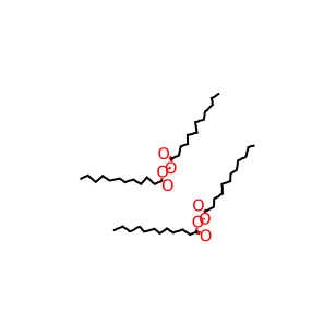 CCCCCCCCCCCC(=O)OOC(=O)CCCCCCCCCCC.CCCCCCCCCCCC(=O)OOC(=O)CCCCCCCCCCC